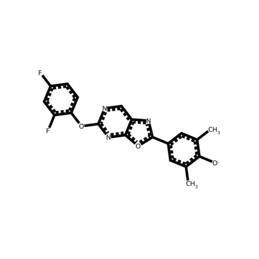 Cc1cc(-c2nc3cnc(Oc4ccc(F)cc4F)nc3o2)cc(C)c1[O]